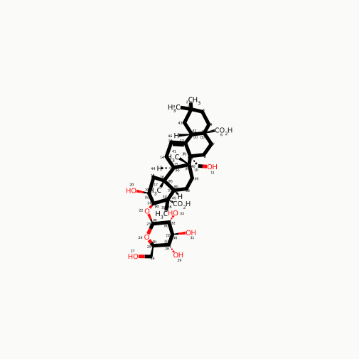 CC1(C)CC[C@]2(C(=O)O)CC[C@]3(CO)C(=CC[C@@H]4[C@@]5(C)C[C@H](O)[C@H](O[C@@H]6O[C@H](CO)[C@@H](O)[C@H](O)[C@H]6O)[C@@](C)(C(=O)O)[C@@H]5CC[C@]43C)[C@@H]2C1